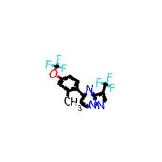 Cc1cc(OC(F)(F)F)ccc1-c1ccn2ncc(C(F)(F)F)c2n1